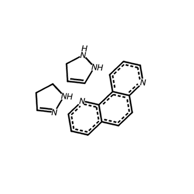 C1=CNNC1.C1=NNCC1.c1cnc2c(c1)ccc1ncccc12